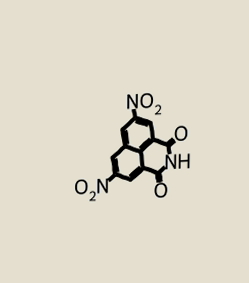 O=C1NC(=O)c2cc([N+](=O)[O-])cc3cc([N+](=O)[O-])cc1c23